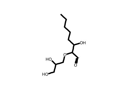 CCCCCC(O)C([C]=O)OCC(O)CO